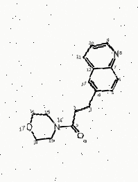 O=C(CCc1ccc2ncccc2c1)N1CCOCC1